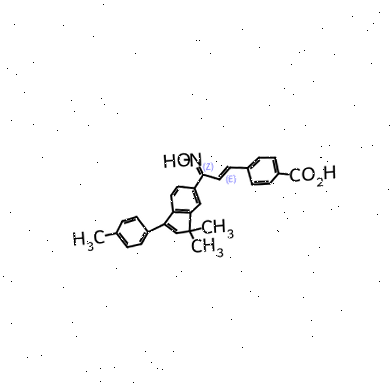 Cc1ccc(C2=CC(C)(C)c3cc(C(/C=C/c4ccc(C(=O)O)cc4)=N\O)ccc32)cc1